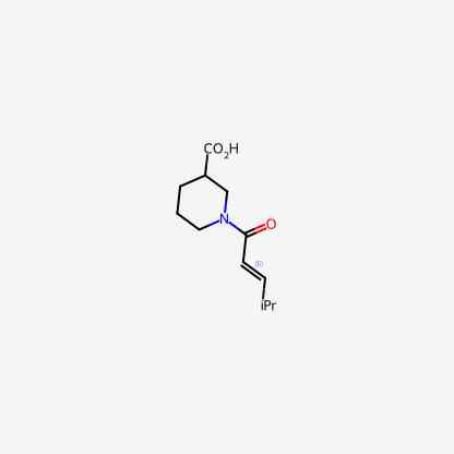 CC(C)/C=C/C(=O)N1CCCC(C(=O)O)C1